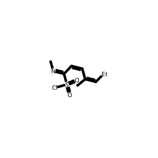 CC\C=C(C)/C=C\C(=N/C)S(=O)(=O)Cl